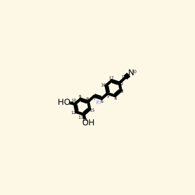 N#Cc1ccc(/C=C/c2cc(O)cc(O)c2)cc1